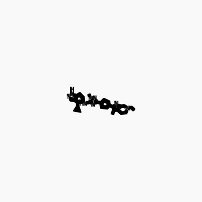 CCN1CCc2c(C)c(-c3ccc(-c4nc(Nc5ccc6[nH]ncc6c5C5CC5)n(C)n4)cc3)nn2C1